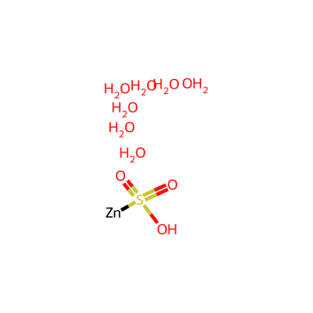 O.O.O.O.O.O.O.O=[S](=O)(O)[Zn]